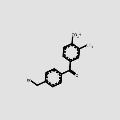 Cc1cc(C(=O)c2ccc(CBr)cc2)ccc1C(=O)O